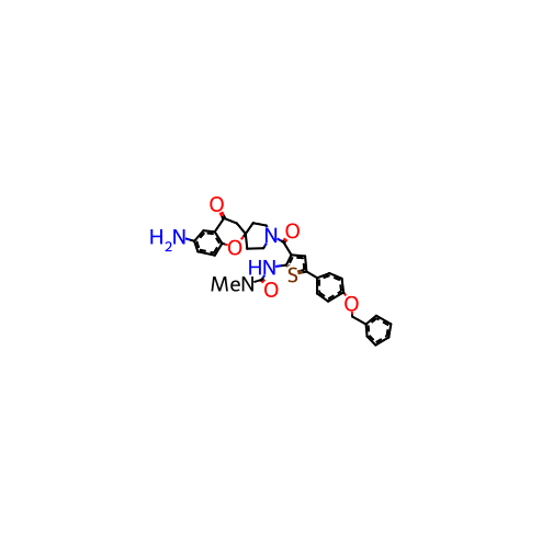 CNC(=O)Nc1sc(-c2ccc(OCc3ccccc3)cc2)cc1C(=O)N1CCC2(CC1)CC(=O)c1cc(N)ccc1O2